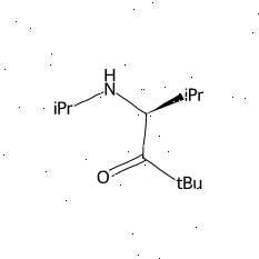 CC(C)N[C@H](C(=O)C(C)(C)C)C(C)C